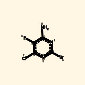 Nc1nc(Br)nc(Cl)c1F